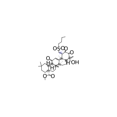 CCCCS(=O)(=O)/C=C1\C(=O)C(=O)[C@](C)(CO)[C@@H]2CC[C@]3(C)C(=CC(=O)[C@@H]4[C@@H]5CC(C)(C)CC[C@]5(C(=O)OC)CC[C@]43C)[C@@]12C